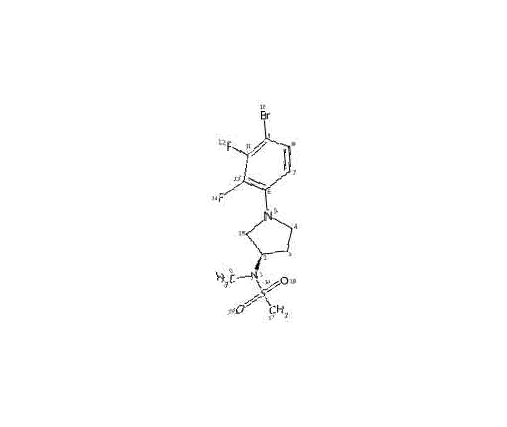 CN([C@@H]1CCN(c2ccc(Br)c(F)c2F)C1)S(C)(=O)=O